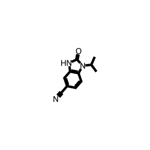 CC(C)n1c(=O)[nH]c2cc(C#N)ccc21